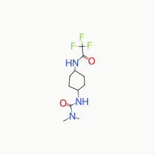 CN(C)C(=O)NC1CCC(NC(=O)C(F)(F)F)CC1